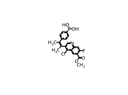 COC(=O)c1cc2c(Cl)c(/C(C)=C(/C)c3ccc(B(O)O)cc3)cnc2cc1F